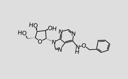 OC[C@H]1O[C@@H](n2cnc3c(NOCc4ccccc4)ncnc32)[C@H](O)[C@@H]1O